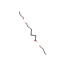 CCCCOC(=O)CCCCCOCCC